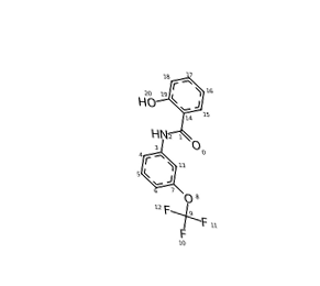 O=C(Nc1cccc(OC(F)(F)F)c1)c1ccccc1O